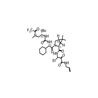 C=CCNC(=O)C(=O)C(CC)NC(=O)[C@@H]1[C@@H]2[C@H](CN1C(=O)[C@@H](NC(=O)N[C@H](CN(C)C(=O)C(F)(F)F)C(C)(C)C)C1CCCCC1)C2(C)C